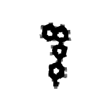 Brc1ccc(-c2ccc(-c3cccc4ccccc34)cc2)cc1